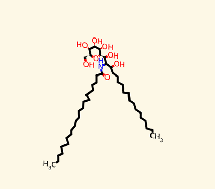 CCCCCCCCCCCCCCCCCCCCCC(=O)NC(C(O)CCCCCCCCCCCCCCC)C(O)[C@@H]1O[C@H](CO)[C@@H](O)[C@H](O)[C@H]1O